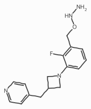 NNOCc1cccc(N2CC(Cc3ccncc3)C2)c1F